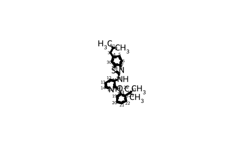 CC(C)Cc1ccc2nc(Nc3cccnc3Oc3ccccc3C(C)(C)C)sc2c1